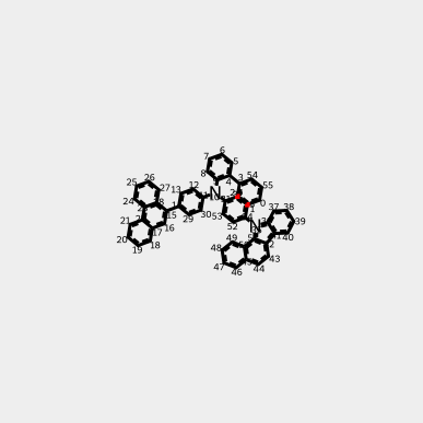 c1ccc(-c2ccccc2N(c2ccc(-c3cc4ccccc4c4ccccc34)cc2)c2ccc(-n3c4ccccc4c4ccc5ccccc5c43)cc2)cc1